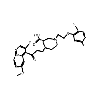 COc1ccc2ncc(F)c(C(=O)CCC3CCN(CCSc4cc(F)ccc4F)C[C@@H]3C(=O)O)c2c1